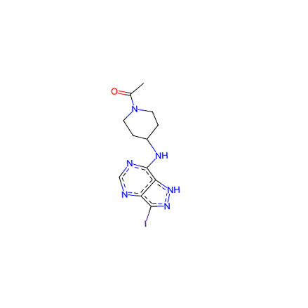 CC(=O)N1CCC(Nc2ncnc3c(I)n[nH]c23)CC1